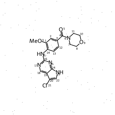 COc1cc(C(=O)N2CCOCC2)ccc1Nc1ncc2c(Cl)c[nH]c2n1